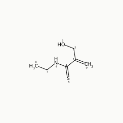 C=C(CO)C(=S)NCC